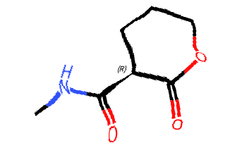 CNC(=O)[C@H]1CCCOC1=O